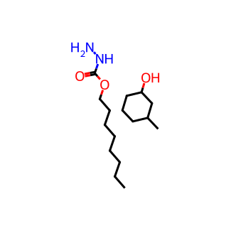 CC1CCCC(O)C1.CCCCCCCCOC(=O)NN